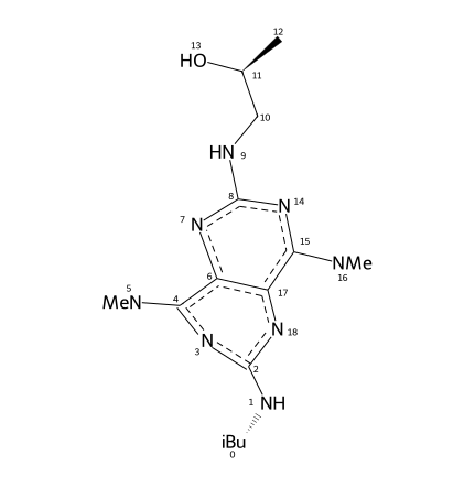 CC[C@@H](C)Nc1nc(NC)c2nc(NC[C@H](C)O)nc(NC)c2n1